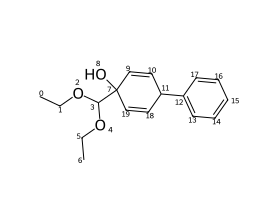 CCOC(OCC)C1(O)C=CC(c2ccccc2)C=C1